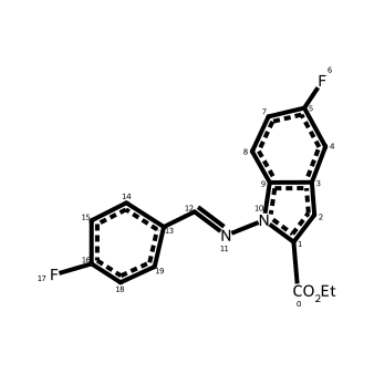 CCOC(=O)c1cc2cc(F)ccc2n1N=Cc1ccc(F)cc1